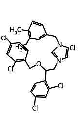 Cc1ccc(Cn2cc[n+](CC(OCc3ccc(Cl)cc3Cl)c3ccc(Cl)cc3Cl)c2)cc1C.[Cl-]